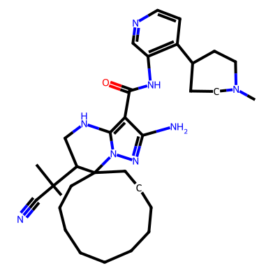 CN1CCC(c2ccncc2NC(=O)c2c(N)nn3c2NCC(C(C)(C)C#N)C32CCCCCCCCCC2)CC1